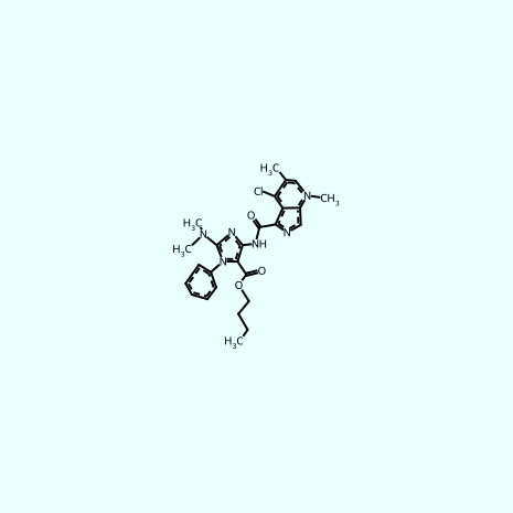 CCCCOC(=O)c1c(NC(=O)c2ncc3n(C)cc(C)c(Cl)c2-3)nc(N(C)C)n1-c1ccccc1